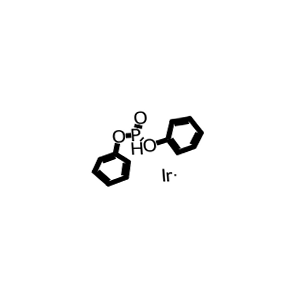 O=[PH](Oc1ccccc1)Oc1ccccc1.[Ir]